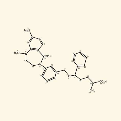 CSc1ncc2c(n1)N(C)CCN(c1cccc(COC(CCN(C)C(=O)O)c3ccccc3)c1)C2=O